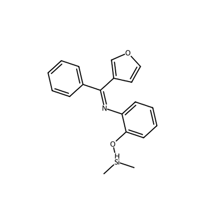 C[SiH](C)Oc1ccccc1N=C(c1ccccc1)c1ccoc1